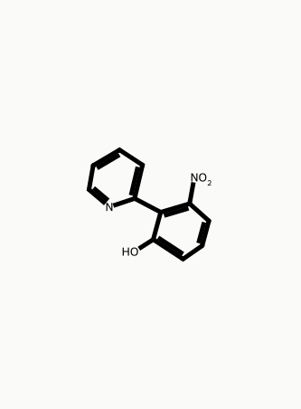 O=[N+]([O-])c1cccc(O)c1-c1ccccn1